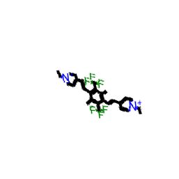 CC[n+]1ccc(/C=C/c2c(C)c(C(F)(F)F)c(/C=C/c3cc[n+](CC)cc3)c(C)c2C(F)(F)F)cc1